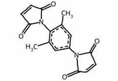 Cc1cc(N2C(=O)C=CC2=O)cc(C)c1N1C(=O)C=CC1=O